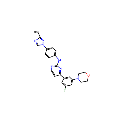 CC(C)(C)c1ncn(-c2ccc(Nc3nccc(-c4cc(F)cc(N5CCOCC5)c4)n3)cc2)n1